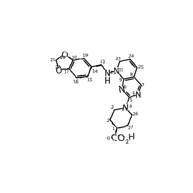 O=C(O)C1CCN(c2ncc3c(n2)N(NCc2ccc4c(c2)OCO4)CC=C3)CC1